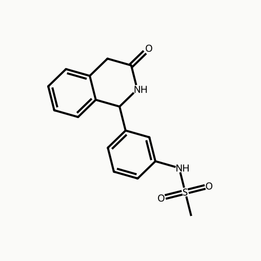 CS(=O)(=O)Nc1cccc(C2NC(=O)Cc3ccccc32)c1